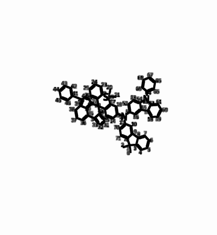 CC1(C)c2ccccc2-c2cc(N(c3ccc4c(c3)[Si](C)(C)c3ccccc3C43c4ccccc4-c4cccc5c(-c6ccccc6)ccc3c45)c3ccc4c(c3)c3ccccc3n4-c3ccccc3)ccc21